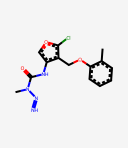 Cc1ccccc1OCc1c(NC(=O)N(C)N=N)coc1Cl